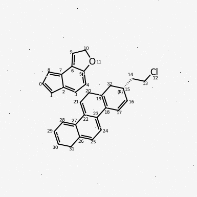 C1=Cc2ccc3c(c2=C1)=CCO3.ClCC[C@@H]1C=CC2=C(CC=c3c2ccc2c3=CC=CC2)C1